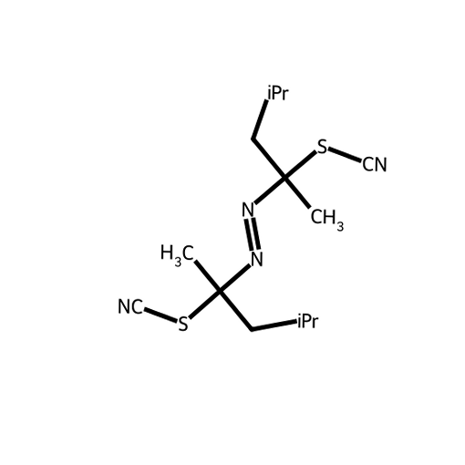 CC(C)CC(C)(N=NC(C)(CC(C)C)SC#N)SC#N